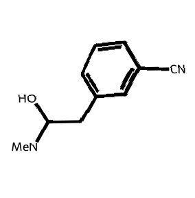 CNC(O)Cc1cccc(C#N)c1